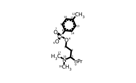 CCCC(CCOS(=O)(=O)c1ccc(C)cc1)N(C)C